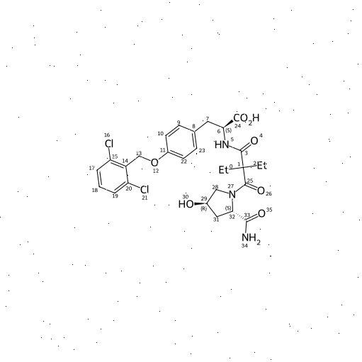 CCC(CC)(C(=O)N[C@@H](Cc1ccc(OCc2c(Cl)cccc2Cl)cc1)C(=O)O)C(=O)N1C[C@H](O)C[C@H]1C(N)=O